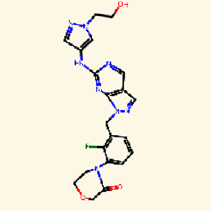 O=C1COCCN1c1cccc(Cn2ncc3cnc(Nc4cnn(CCO)c4)nc32)c1F